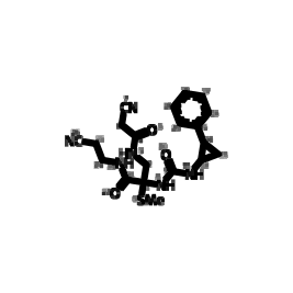 CSC(CNC(=O)CC#N)(NC(=O)NC1CC1c1ccccc1)C(=O)NCCC#N